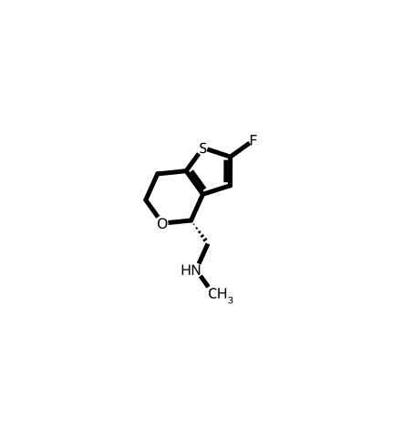 CNC[C@@H]1OCCc2sc(F)cc21